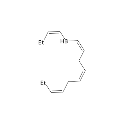 CC/C=C\B/C=C\C/C=C\C/C=C\CC